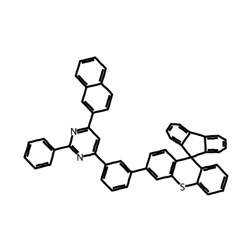 c1ccc(-c2nc(-c3cccc(-c4ccc5c(c4)Sc4ccccc4C54c5ccccc5-c5ccccc54)c3)cc(-c3ccc4ccccc4c3)n2)cc1